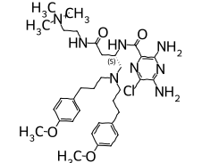 COc1ccc(CCCN(CCCc2ccc(OC)cc2)C[C@H](CC(=O)NCC[N+](C)(C)C)NC(=O)c2nc(Cl)c(N)nc2N)cc1